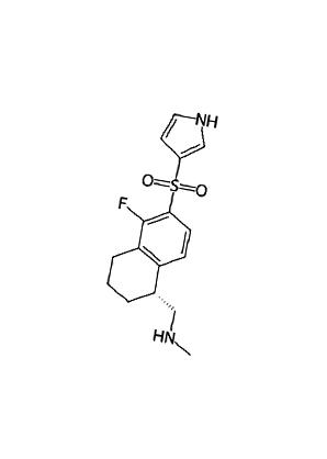 CNC[C@@H]1CCCc2c1ccc(S(=O)(=O)c1cc[nH]c1)c2F